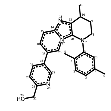 Cc1ccc(C)c(N2CCC(C)c3nc4ccc(-c5ccc(CO)nc5)cn4c32)c1